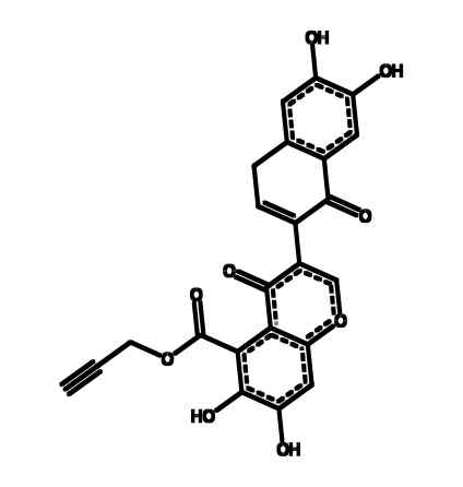 C#CCOC(=O)c1c(O)c(O)cc2occ(C3=CCc4cc(O)c(O)cc4C3=O)c(=O)c12